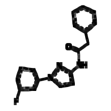 O=C(Cc1ccccc1)Nc1ccn(-c2cccc(F)c2)n1